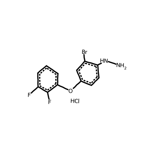 Cl.NNc1ccc(Oc2cccc(F)c2F)cc1Br